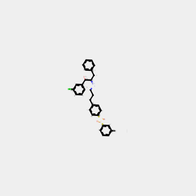 CCOC(=O)c1cccc(S(=O)(=O)c2ccc(CCCNC(Cc3ccccc3)[C@H](O)c3cccc(Cl)c3)cc2)c1